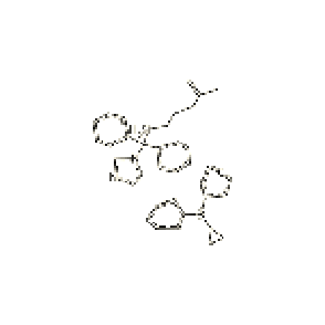 C=C(C)CCC[SiH2]C(c1ccccc1)(c1ccccc1)n1ccnc1.c1ccc(B(c2ccccc2)C2CC2)cc1